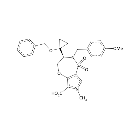 COc1ccc(CN2[C@H](C3(OCc4ccccc4)CC3)COc3c(cn(C)c3C(=O)O)S2(=O)=O)cc1